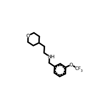 FC(F)(F)Oc1cccc(CNCCC2CCOCC2)c1